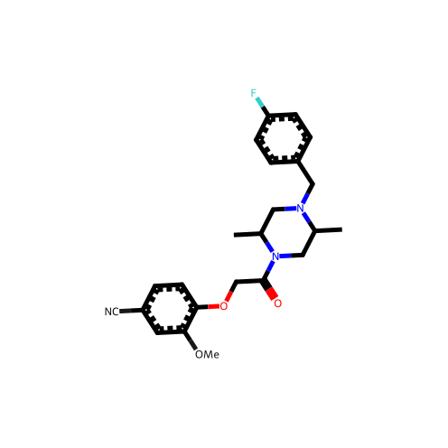 COc1cc(C#N)ccc1OCC(=O)N1CC(C)N(Cc2ccc(F)cc2)CC1C